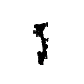 O=C(N[C@@H](c1ccccc1)c1cccc(OCc2nc(COCNCCCCNC[C@H](O)c3ccc(O)c4[nH]c(=O)ccc34)co2)c1)O[C@H]1CN2CCC1CC2